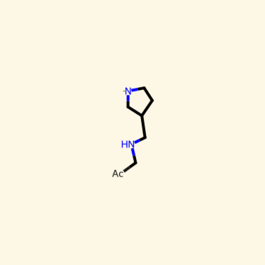 CC(=O)CNCC1CC[N]C1